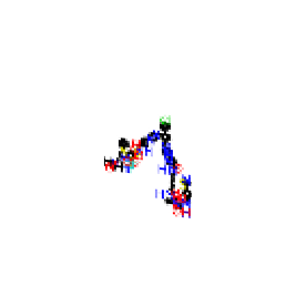 Cc1ncsc1-c1ccc([C@H](C)NC(=O)[C@@H]2C[C@@H](O)CN2C(=O)[C@@H](NC(=O)CCCCCCNC(=O)c2ccc(N3CCN(C[C@]4(C)CCC(c5ccc(Cl)cc5)=C(CN5CCN(c6ccc(C(=O)NS(=O)(=O)c7ccc(N[C@H](CCN8C[C@H]9C[C@@H]8CO9)CSc8ccccc8)c(S(=O)(=O)C(F)(F)F)c7)cc6)CC5)C4)CC3)nc2)C(C)(C)C)cc1